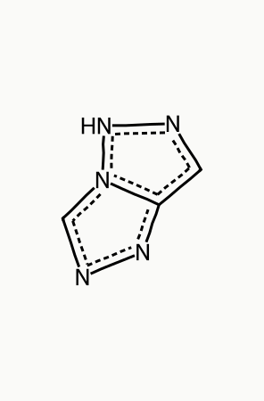 c1n[nH]n2cnnc12